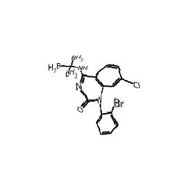 BC(B)(B)Nc1nc(=O)n(-c2ccccc2Br)c2cc(Cl)ccc12